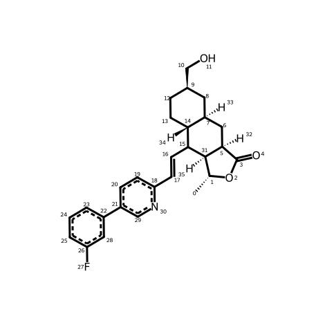 C[C@H]1OC(=O)[C@@H]2C[C@@H]3C[C@H](CO)CC[C@H]3C(/C=C/c3ccc(-c4cccc(F)c4)cn3)[C@H]12